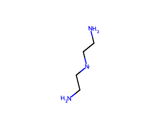 NCC[N]CCN